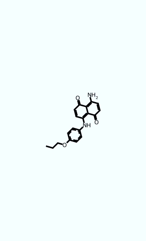 CCCOc1ccc(NC2=C3C(=O)C=CC(N)=C3C(=O)C=C2)cc1